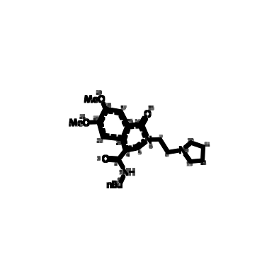 CCCCNC(=O)c1cn(CCN2CCCC2)c(=O)c2cc(OC)c(OC)cc12